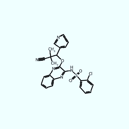 CC(C)(C#N)C(Oc1nc2ccccc2nc1NS(=O)(=O)c1ccccc1Cl)c1cccnc1